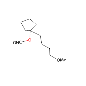 COCCCCC1(OC=O)CCCC1